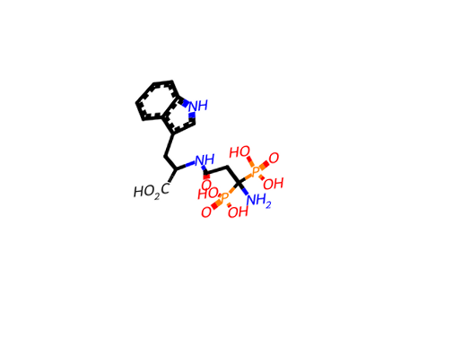 NC(CC(=O)NC(Cc1c[nH]c2ccccc12)C(=O)O)(P(=O)(O)O)P(=O)(O)O